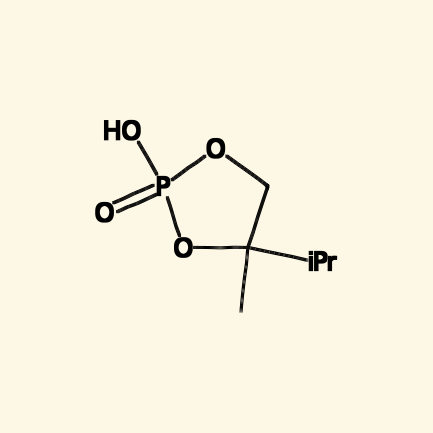 CC(C)C1(C)COP(=O)(O)O1